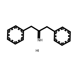 I.N=C(Cc1ccccc1)Cc1ccccc1